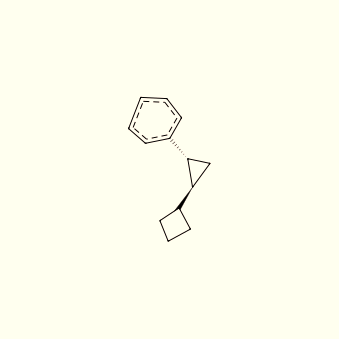 c1ccc([C@@H]2C[C@H]2C2CCC2)cc1